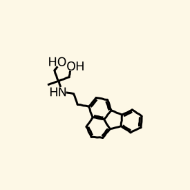 CC(CO)(CO)NCCc1ccc2c3c(cccc13)-c1ccccc1-2